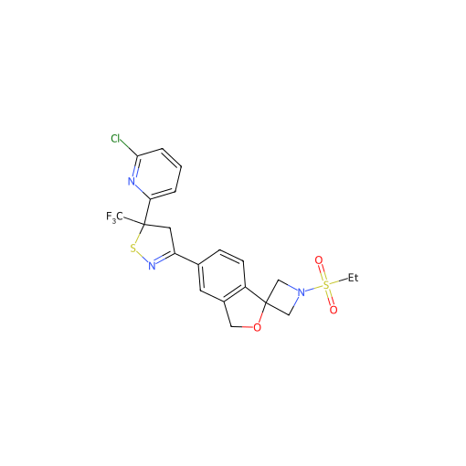 CCS(=O)(=O)N1CC2(C1)OCc1cc(C3=NSC(c4cccc(Cl)n4)(C(F)(F)F)C3)ccc12